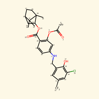 CCCC(=O)Oc1cc(NCc2cc(C(F)(F)F)cc(Cl)c2O)ccc1C(=O)OC1CC2CCC1(C)C2(C)C